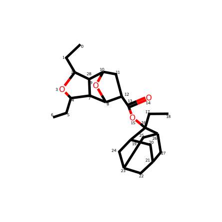 CCC1OC(CC)C2C3OC(CC3C(=O)OC3(CC)C4CC5CC(C4)CC3C5)C12